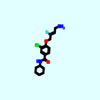 NC/C=C(\F)COc1ccc(C(=O)NC2CCCCC2)cc1Cl